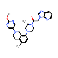 CCOc1ncc(N2CCc3c(C(F)(F)F)ccc(N4CCN(C(=O)Cn5cnc6cccnc65)[C@@H](C)C4)c3C2)cn1